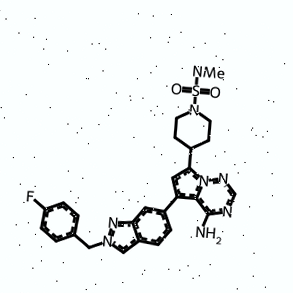 CNS(=O)(=O)N1CCC(c2cc(-c3ccc4cn(Cc5ccc(F)cc5)nc4c3)c3c(N)ncnn23)CC1